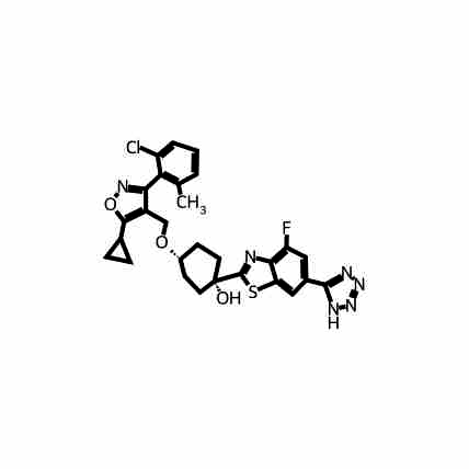 Cc1cccc(Cl)c1-c1noc(C2CC2)c1CO[C@H]1CC[C@](O)(c2nc3c(F)cc(-c4nnn[nH]4)cc3s2)CC1